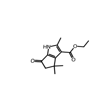 CCOC(=O)c1c(C)[nH]c2c1C(C)(C)CC2=O